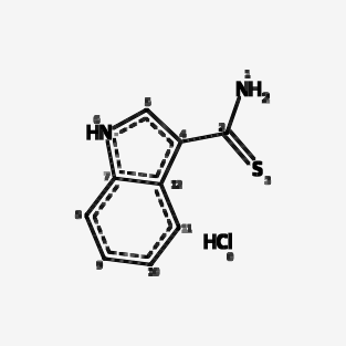 Cl.NC(=S)c1c[nH]c2ccccc12